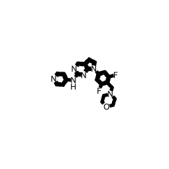 Fc1cc(-n2ccc3cnc(Nc4ccncc4)nc32)cc(F)c1CN1CCOCC1